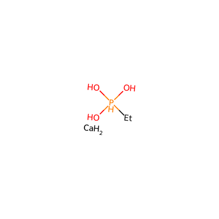 CC[PH](O)(O)O.[CaH2]